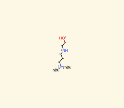 CCCCN(CCCC)CCCNCCO